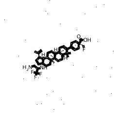 C=C(C)[C@@H]1CC[C@]2(NC(CN)C(F)(F)F)CC[C@]3(C)C(CC[C@@H]4[C@@]5(C)CC=C(C6=CC[C@](CF)(C(=O)O)CC6)C(C)(C)[C@@H]5CC[C@]43C)[C@@H]12